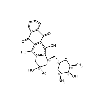 CC(=O)[C@]1(O)Cc2c(O)c3c(c(O)c2[C@@H](C[C@H]2C[C@H](N)[C@H](O)[C@H](C)O2)C1)C(=O)c1ccccc1C3=O